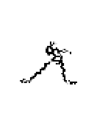 CCCCCCCCCCCCCCCCCCOC(C)Cc1cccc(O)c1CC(C)OCCCCCCCCCCCCCCCCCC